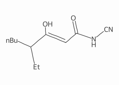 CCCCC(CC)C(O)=CC(=O)NC#N